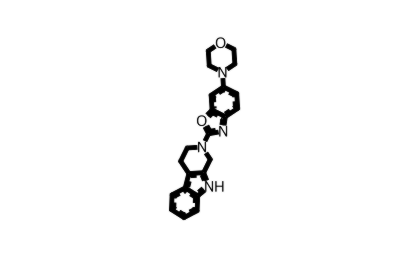 c1ccc2c3c([nH]c2c1)CN(c1nc2ccc(N4CCOCC4)cc2o1)CC3